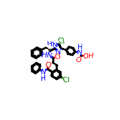 O=C(O)Nc1ccc(-c2nc([C@H](Cc3ccccc3)NC(=O)CCc3cc(Cl)ccc3C(=O)Nc3ccccc3)[nH]c2Cl)cc1